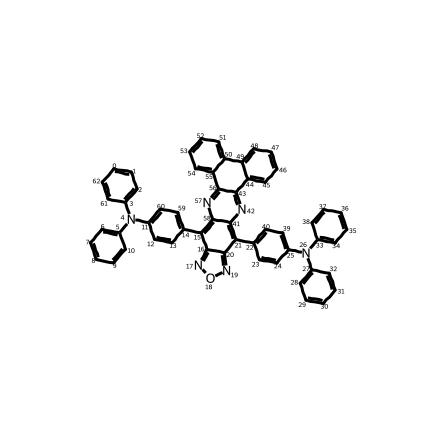 c1ccc(N(c2ccccc2)c2ccc(-c3c4nonc4c(-c4ccc(N(c5ccccc5)c5ccccc5)cc4)c4nc5c6ccccc6c6ccccc6c5nc34)cc2)cc1